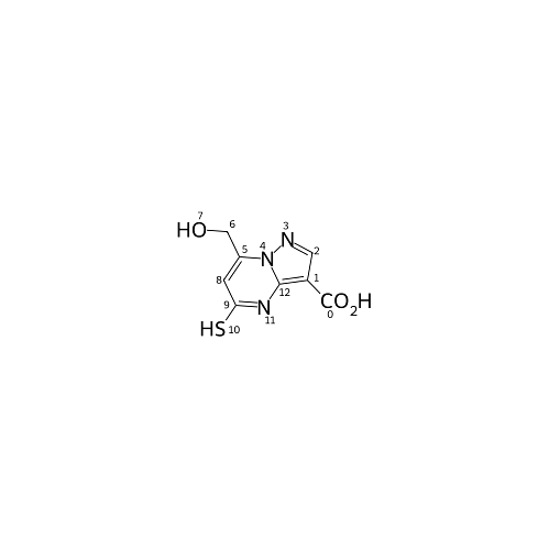 O=C(O)c1cnn2c(CO)cc(S)nc12